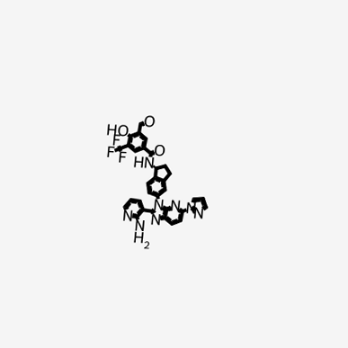 Nc1ncccc1-c1nc2ccc(-n3cccn3)nc2n1-c1ccc2c(c1)CC[C@@H]2NC(=O)c1cc(C=O)c(O)c(C(F)(F)F)c1